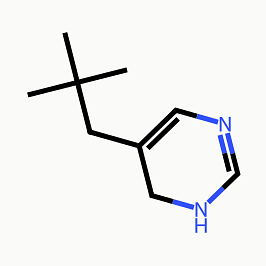 CC(C)(C)CC1=CN=CNC1